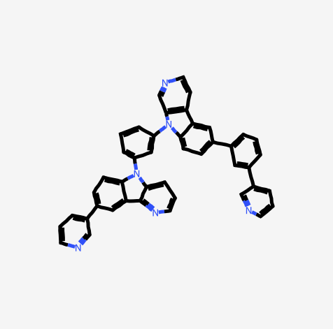 c1cncc(-c2cccc(-c3ccc4c(c3)c3ccncc3n4-c3cccc(-n4c5ccc(-c6cccnc6)cc5c5ncccc54)c3)c2)c1